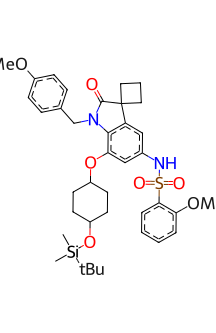 COc1ccc(CN2C(=O)C3(CCC3)c3cc(NS(=O)(=O)c4ccccc4OC)cc(OC4CCC(O[Si](C)(C)C(C)(C)C)CC4)c32)cc1